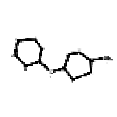 CC(C)(C)C1CCC(SC2CCCCC2)CC1